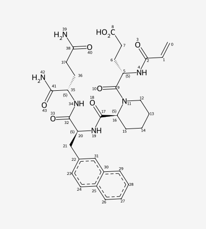 C=CC(=O)N[C@@H](CCC(=O)O)C(=O)N1CCCC[C@H]1C(=O)N[C@@H](Cc1ccc2ccccc2c1)C(=O)N[C@@H](CCC(N)=O)C(N)=O